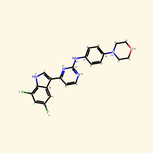 Fc1cc(F)c2[nH]cc(-c3ccnc(Nc4ccc(N5CCOCC5)cc4)n3)c2c1